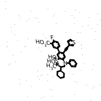 CN1C(C2CCCCC2)CN(c2ccccc2)c2cc(C#Cc3ccsc3)c(-c3ccc(F)c(C(=O)O)c3)cc2S1(O)O